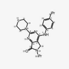 CC(C)c1ccc(Nc2nc(N3CCSCC3)nc3c2CN(C(C)C)C3=O)cc1